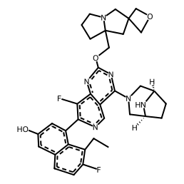 CCc1c(F)ccc2cc(O)cc(-c3ncc4c(N5C[C@H]6CC[C@@H](C5)N6)nc(OCC56CCCN5CC5(COC5)C6)nc4c3F)c12